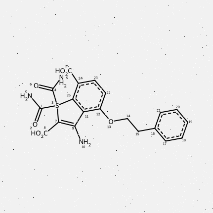 NC(=O)S1(C(N)=O)C(C(=O)O)=C(N)c2c(OCCc3ccccc3)ccc(C(=O)O)c21